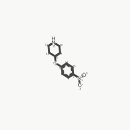 O=[N+]([O-])c1ccc(SC2CCNCC2)cc1